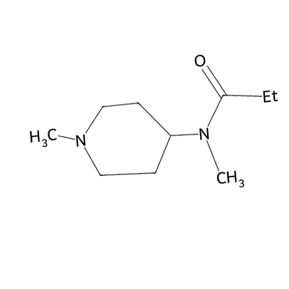 CCC(=O)N(C)C1CCN(C)CC1